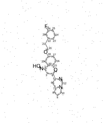 O/N=c1/cc(-c2cc3cccn3cn2)oc2ccc(OCCc3cccc(F)c3)cc12